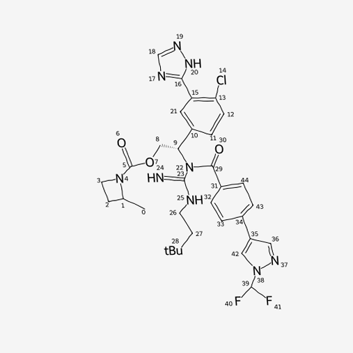 CC1CCN1C(=O)OC[C@H](c1ccc(Cl)c(-c2ncn[nH]2)c1)N(C(=N)NCCC(C)(C)C)C(=O)c1ccc(-c2cnn(C(F)F)c2)cc1